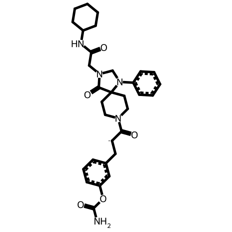 NC(=O)Oc1cccc(C[CH]C(=O)N2CCC3(CC2)C(=O)N(CC(=O)NC2CCCCC2)CN3c2ccccc2)c1